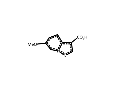 COc1ccc2c(C(=O)O)cnn2c1